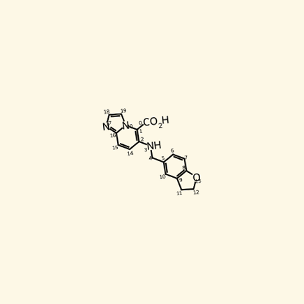 O=C(O)c1c(NCc2ccc3c(c2)CCO3)ccc2nccn12